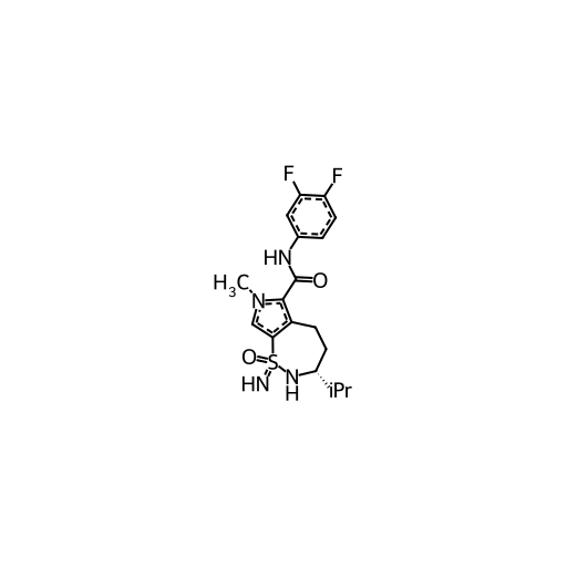 CC(C)[C@H]1CCc2c(cn(C)c2C(=O)Nc2ccc(F)c(F)c2)S(=N)(=O)N1